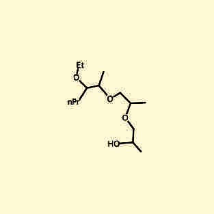 CCCC(OCC)C(C)OCC(C)OCC(C)O